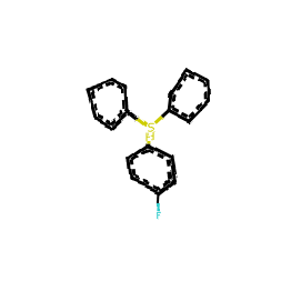 Fc1ccc([SH](c2ccccc2)c2ccccc2)cc1